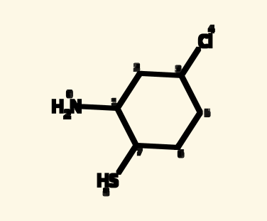 NC1CC(Cl)CCC1S